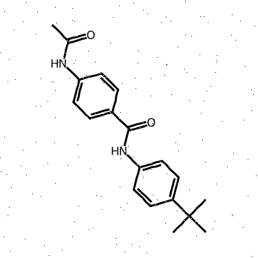 CC(=O)Nc1ccc(C(=O)Nc2ccc(C(C)(C)C)cc2)cc1